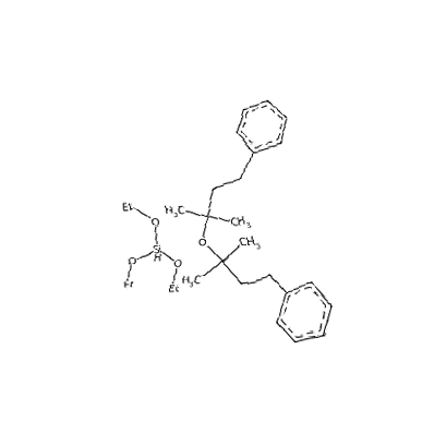 CC(C)(CCc1ccccc1)OC(C)(C)CCc1ccccc1.CCO[SiH](OCC)OCC